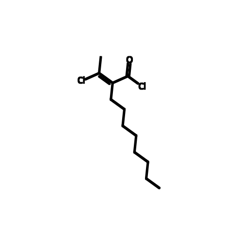 CCCCCCCCC(C(=O)Cl)=C(C)Cl